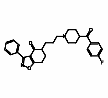 O=C(c1ccc(F)cc1)C1CCN(CCCC2CCc3onc(-c4ccccc4)c3C2=O)CC1